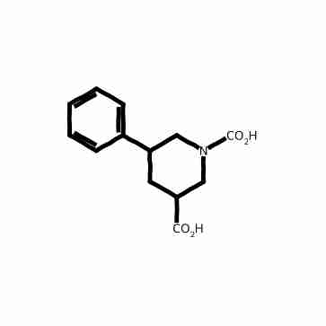 O=C(O)C1CC(c2ccccc2)CN(C(=O)O)C1